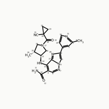 Cc1cc(-c2cn3ncc(C(N)=O)c(N[C@@H]4CN(C(=O)C5(C#N)CC5)C[C@H]4C)c3n2)ccn1